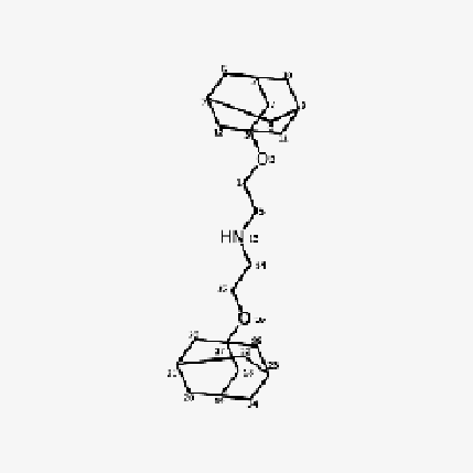 C(COC12CC3CC(CC(C3)C1)C2)NCCOC12CC3CC(CC(C3)C1)C2